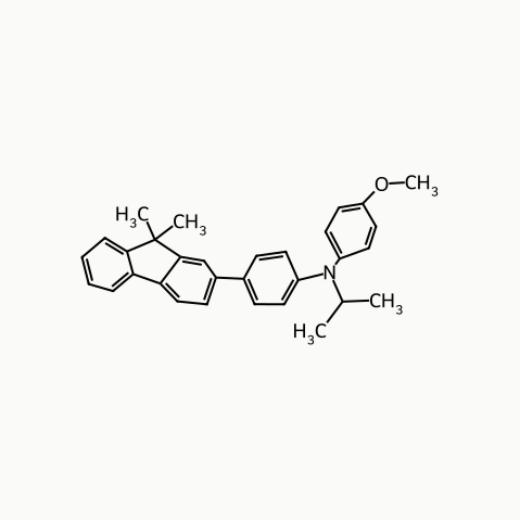 COc1ccc(N(c2ccc(-c3ccc4c(c3)C(C)(C)c3ccccc3-4)cc2)C(C)C)cc1